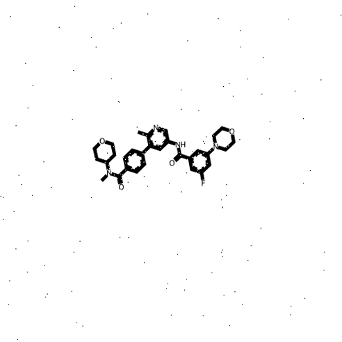 Cc1ncc(NC(=O)c2cc(F)cc(N3CCOCC3)c2)cc1-c1ccc(C(=O)N(C)C2CCOCC2)cc1